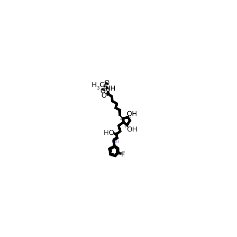 CS(=O)(=O)NC(=O)CCCCCC[C@@H]1C(CCC(O)/C=C/c2cccc(F)c2)[C@H](O)C[C@@H]1O